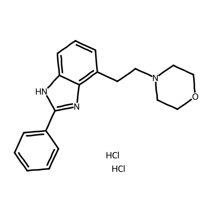 Cl.Cl.c1ccc(-c2nc3c(CCN4CCOCC4)cccc3[nH]2)cc1